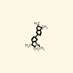 CCN1c2cc(-c3ccc4c(c3)C[C@H](C)[C@@H]4C)ccc2[C@H](C)[C@@H]1C